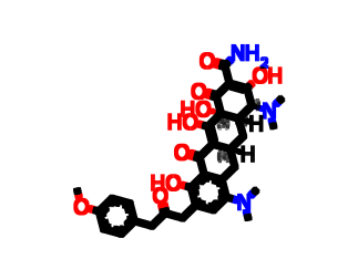 COc1ccc(CC(=O)Cc2cc(N(C)C)c3c(c2O)C(=O)C2=C(O)[C@]4(O)C(=O)C(C(N)=O)=C(O)[C@@H](N(C)C)[C@@H]4C[C@@H]2C3)cc1